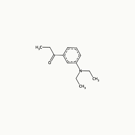 CCC(=O)c1cccc(N(CC)CC)c1